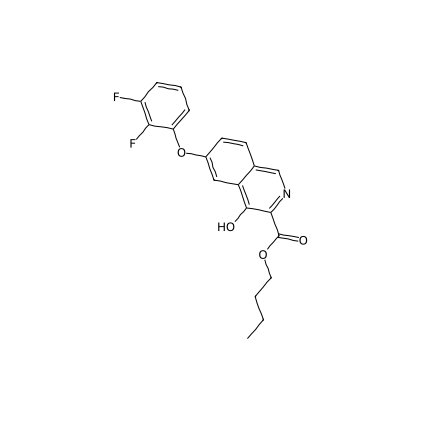 CCCCOC(=O)c1ncc2ccc(Oc3cccc(F)c3F)cc2c1O